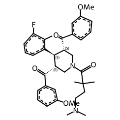 COc1cccc(C(=O)[C@H]2CN(C(=O)C(C)(C)CCN(C)C)C[C@@H](C(=O)c3cccc(OC)c3)[C@@H]2c2cccc(F)c2C)c1